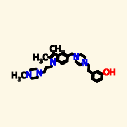 Cc1c(C)n(CCCN2CCN(C)CC2)c2ccc(CN3CCN(CCc4cccc(O)c4)CC3)cc12